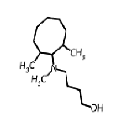 CC1CCCCCC(C)C1N(C)CCCCO